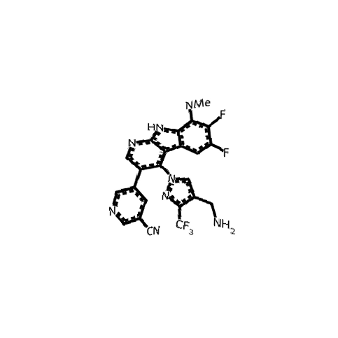 CNc1c(F)c(F)cc2c1[nH]c1ncc(-c3cncc(C#N)c3)c(-n3cc(CN)c(C(F)(F)F)n3)c12